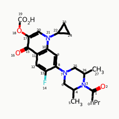 CCCC(=O)N1C(C)CN(c2cc3c(cc2F)c(=O)c(OC(=O)O)cn3C2CC2)CC1C